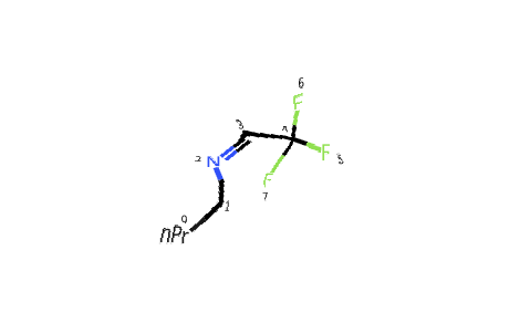 CCCC/N=C\C(F)(F)F